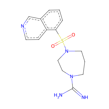 N=C(N)N1CCCN(S(=O)(=O)c2cccc3cnccc23)CC1